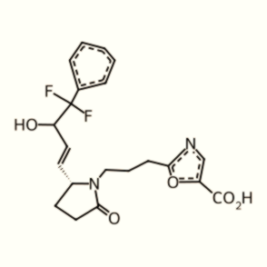 O=C(O)c1cnc(CCCN2C(=O)CC[C@@H]2C=CC(O)C(F)(F)c2ccccc2)o1